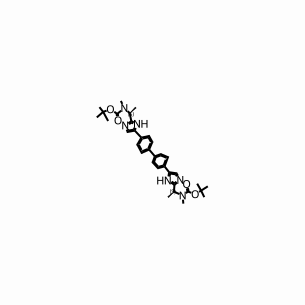 C[C@@H](c1ncc(-c2ccc(-c3ccc(-c4cnc([C@H](C)N(C)C(=O)OC(C)(C)C)[nH]4)cc3)cc2)[nH]1)N(C)C(=O)OC(C)(C)C